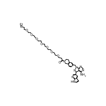 CCOCCOCCOCCOCCOCCOCCOCCOCCC(=O)N1CCc2cc(Cn3nc(-c4cnc5[nH]ccc5c4)c4c(N)ncnc43)ccc2C1